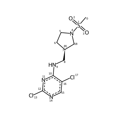 CS(=O)(=O)N1CC[C@H](CNc2nc(Cl)ncc2Cl)C1